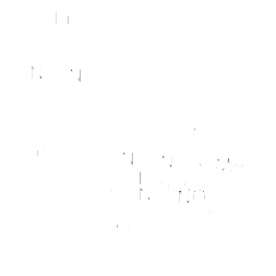 CCCCCCCCN(SN(C(=O)NC(=O)c1ccccc1[N+](=O)[O-])c1ccc(Oc2ncc(Br)cn2)c(Cl)c1)C(=O)OC